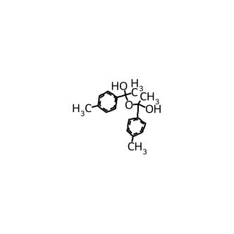 Cc1ccc(C(C)(O)OC(C)(O)c2ccc(C)cc2)cc1